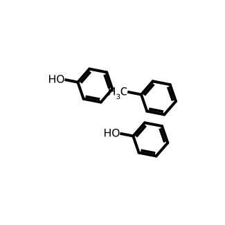 Cc1ccccc1.Oc1ccccc1.Oc1ccccc1